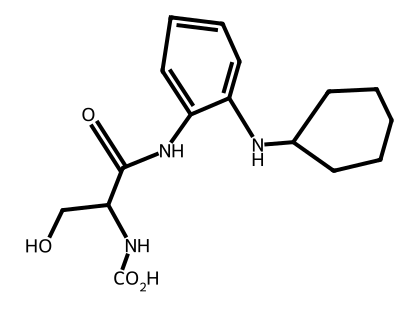 O=C(O)NC(CO)C(=O)Nc1ccccc1NC1CCCCC1